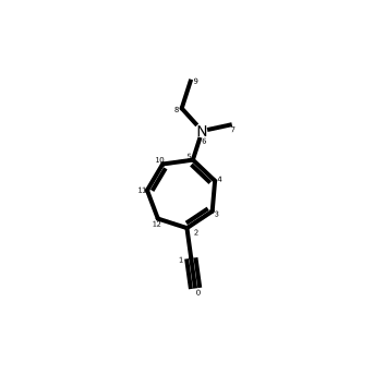 C#CC1=CC=C(N(C)CC)C=CC1